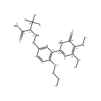 CCCOc1ccc(CNC(C(=O)O)C(C)(C)C)cc1-c1nc(CC)c(CC)c(=O)[nH]1